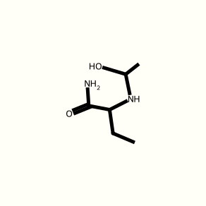 CCC(NC(C)O)C(N)=O